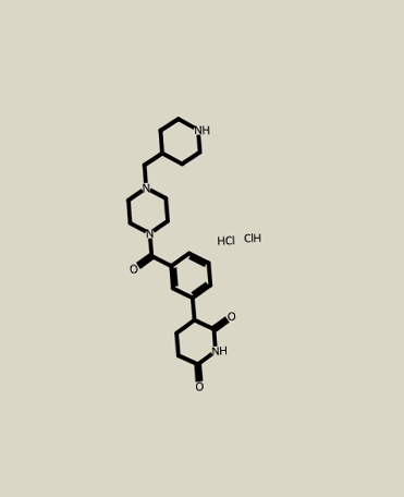 Cl.Cl.O=C1CCC(c2cccc(C(=O)N3CCN(CC4CCNCC4)CC3)c2)C(=O)N1